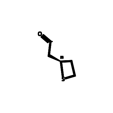 O=[C]C[C@H]1CCS1